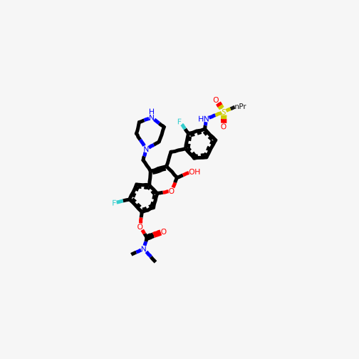 CCCS(=O)(=O)Nc1cccc(CC2=C(CN3CCNCC3)c3cc(F)c(OC(=O)N(C)C)cc3OC2O)c1F